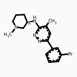 Cc1cc(-c2cccc(C(C)C)c2)nnc1N[C@@H]1CCCN(C)C1